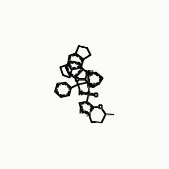 CC1CCn2ncc(S(=O)(=NC(c3ccccc3)(c3ccccc3)c3ccccc3)NC(=O)Nc3c4c(cc5c3CCC5)CCC4)c2O1